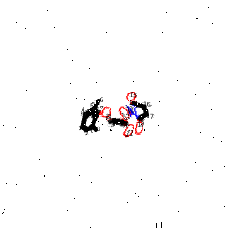 Cc1cccc(C)c1OCC(=O)ON1C(=O)CCC1=O